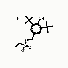 CCP(=O)([O-])OCc1cc(C(C)(C)C)c(O)c(C(C)(C)C)c1.[K+]